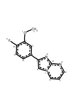 COc1cc(-c2cn3cccnc3n2)ccc1F